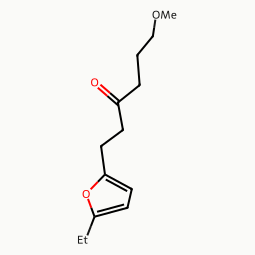 CCc1ccc(CCC(=O)CCCOC)o1